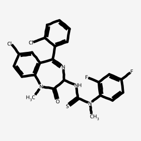 CN(C(=S)NC1N=C(c2ccccc2Cl)c2cc(Cl)ccc2N(C)C1=O)c1ccc(F)cc1F